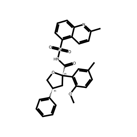 COc1ccc(C)cc1[C@@]1(C(=O)NS(=O)(=O)c2cccc3nc(C)ccc23)C[C@H](c2ccccc2)CO1